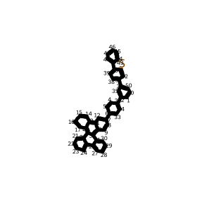 c1cc(-c2ccc(-c3ccc4c(c3)c3ccccc3c3c5ccccc5c5ccccc5c43)cc2)cc(-c2ccc3c(c2)sc2ccccc23)c1